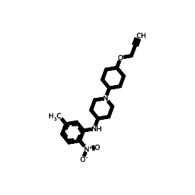 C#CCOC1CCC(N2CCC(Nc3cc(C)ccc3[N+](=O)[O-])CC2)CC1